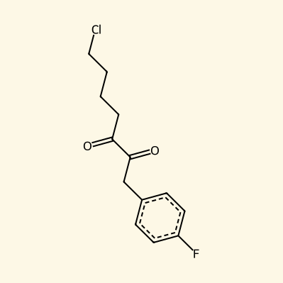 O=C(CCCCCl)C(=O)Cc1ccc(F)cc1